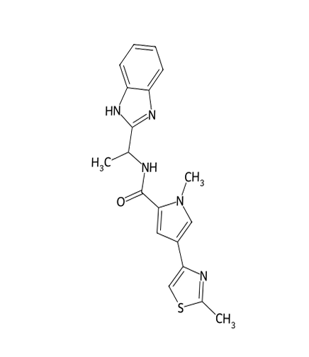 Cc1nc(-c2cc(C(=O)NC(C)c3nc4ccccc4[nH]3)n(C)c2)cs1